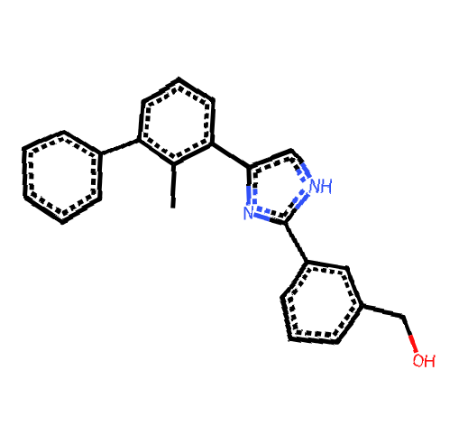 Cc1c(-c2ccccc2)cccc1-c1c[nH]c(-c2cccc(CO)c2)n1